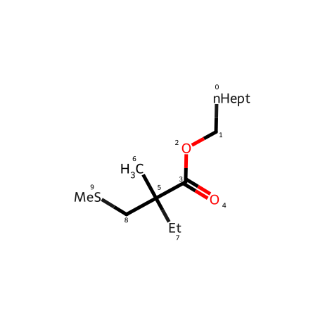 CCCCCCCCOC(=O)C(C)(CC)CSC